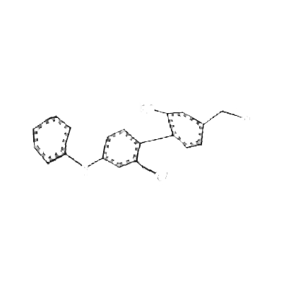 CC(C)Cc1ccc(-c2ccc(Nc3ccccc3)cc2Cl)c(C(F)(F)F)c1